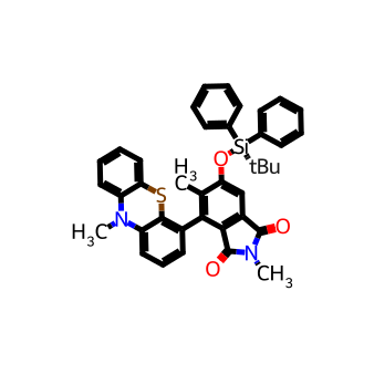 Cc1c(O[Si](c2ccccc2)(c2ccccc2)C(C)(C)C)cc2c(c1-c1cccc3c1Sc1ccccc1N3C)C(=O)N(C)C2=O